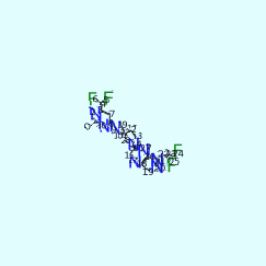 Cc1nc(C(F)F)cc(N2CC3(CCN(c4cnc5cnn(CC(F)F)c5n4)C3)C2)n1